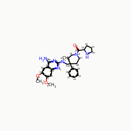 COc1cc2nc(N(C)CC3(c4ccccc4)CCN(C(=O)C4CCCN4)CC3)nc(N)c2cc1OC